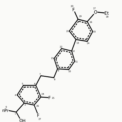 CCCC(O)c1ccc(CCc2ccc(-c3ccc(OCC)c(F)c3)cc2)c(F)c1F